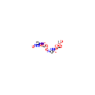 C=C(COC(=O)C(COC)COC(=O)Nc1cccc(NCOOCC(COC(=O)Nc2cccc(NCOC)c2)C(=O)O)c1)C(=O)OC